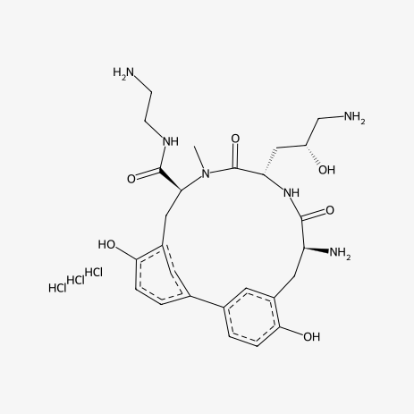 CN1C(=O)[C@H](C[C@@H](O)CN)NC(=O)[C@@H](N)Cc2cc(ccc2O)-c2ccc(O)c(c2)C[C@H]1C(=O)NCCN.Cl.Cl.Cl